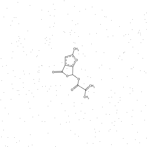 C=C(C)C(=O)OC1OC(=O)c2cc(C)oc21